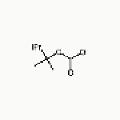 CC(C)C(C)(C)OC([O])=O